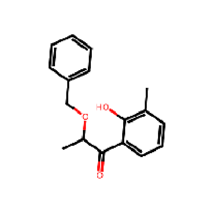 Cc1cccc(C(=O)C(C)OCc2ccccc2)c1O